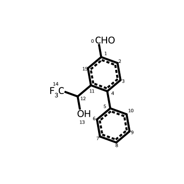 O=Cc1ccc(-c2ccccc2)c(C(O)C(F)(F)F)c1